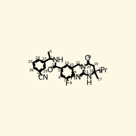 CC(NC(=O)c1cc(F)cc(CN2C(=N)N[C@](C)(C(C)C)CC2=O)c1)c1cccc(C#N)c1